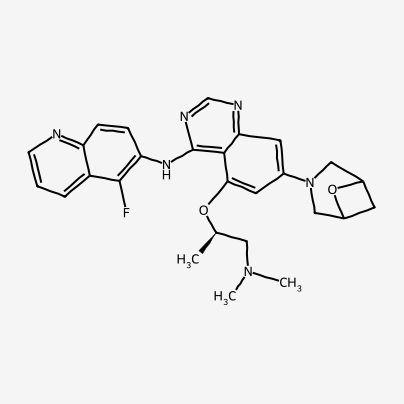 C[C@H](CN(C)C)Oc1cc(N2CC3CC(C2)O3)cc2ncnc(Nc3ccc4ncccc4c3F)c12